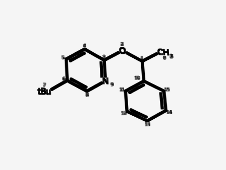 CC(Oc1ccc(C(C)(C)C)cn1)c1ccccc1